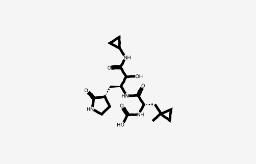 CC1(C[C@H](NC(=O)O)C(=O)N[C@@H](C[C@@H]2CCNC2=O)C(O)C(=O)NC2CC2)CC1